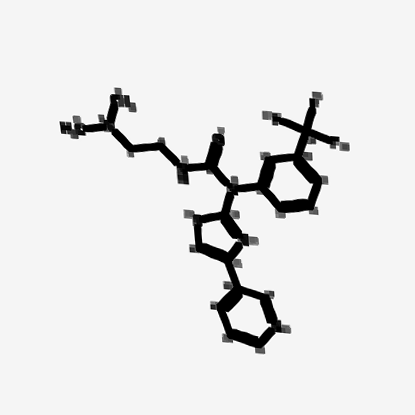 CN(C)CCNC(=O)N(c1cccc(C(F)(F)F)c1)c1nc(-c2cccnc2)cs1